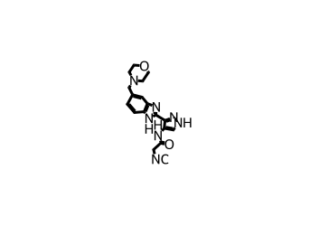 [C-]#[N+]CC(=O)Nc1c[nH]nc1-c1nc2cc(CN3CCOCC3)ccc2[nH]1